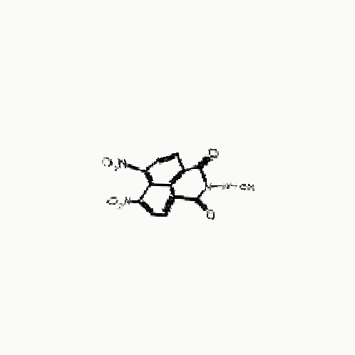 CCCCCCN1C(=O)c2ccc([N+](=O)[O-])c3c([N+](=O)[O-])ccc(c23)C1=O